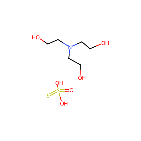 O=S(O)(O)=S.OCCN(CCO)CCO